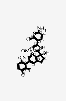 CO[n+]1cc(-c2c(C#N)ccc(Cl)c2F)cc2c1C(O)(c1ncc(-c3ccc(N)nc3Cl)[nH]1)CC2